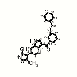 Cc1noc(C)c1-c1cnc2c(C(=O)c3cccc(OCc4ccccc4)c3)c[nH]c2c1